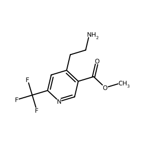 COC(=O)c1cnc(C(F)(F)F)cc1CCN